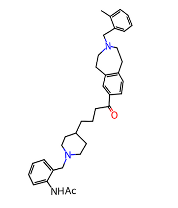 CC(=O)Nc1ccccc1CN1CCC(CCCC(=O)c2ccc3c(c2)CCN(Cc2ccccc2C)CC3)CC1